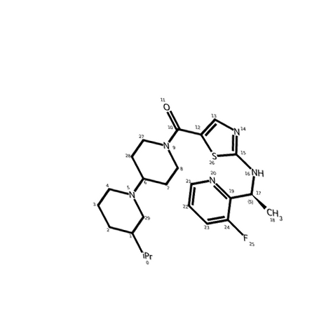 CC(C)C1CCCN(C2CCN(C(=O)c3cnc(N[C@@H](C)c4ncccc4F)s3)CC2)C1